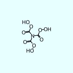 O=C(OO)N(C(=O)OO)C(=O)OO